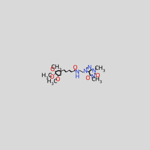 COc1cc(C=CC=CC(=O)NCCn2cnc3c2c(=O)n(C)c(=O)n3C)cc(OC)c1OC